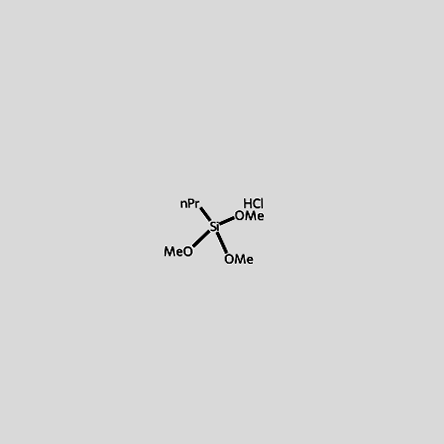 CCC[Si](OC)(OC)OC.Cl